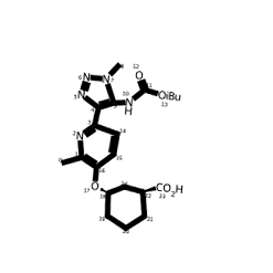 Cc1nc(-c2nnn(C)c2NC(=O)OCC(C)C)ccc1O[C@H]1CCC[C@H](C(=O)O)C1